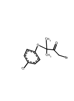 CC(C)(Oc1ccc(Cl)cc1)C(=O)[CH]Br